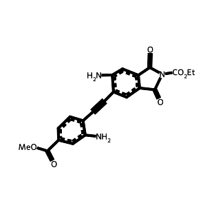 CCOC(=O)N1C(=O)c2cc(N)c(C#Cc3ccc(C(=O)OC)cc3N)cc2C1=O